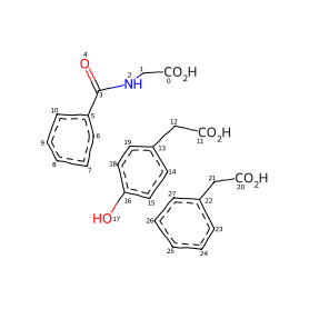 O=C(O)CNC(=O)c1ccccc1.O=C(O)Cc1ccc(O)cc1.O=C(O)Cc1ccccc1